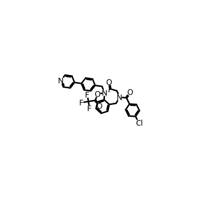 O=C(c1ccc(Cl)cc1)N1CC(=O)[N+](Cc2ccc(-c3ccncc3)cc2)(OC(=O)C(F)(F)F)c2ccccc2C1